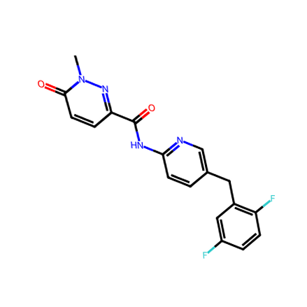 Cn1nc(C(=O)Nc2ccc(Cc3cc(F)ccc3F)cn2)ccc1=O